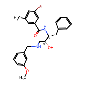 COc1cccc(CNC[C@@H](O)[C@@H](Cc2ccccc2)NC(=O)c2cc(C)cc(Br)c2)c1